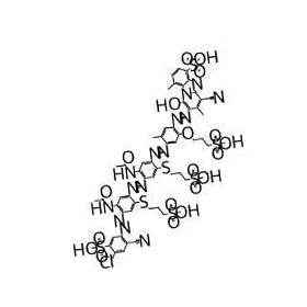 CC(=O)Nc1cc(N=Nc2cc(SCCCS(=O)(=O)O)c(N=Nc3cc(OCCCS(=O)(=O)O)c(N=Nc4c(C)c(C#N)c5nc6c(S(=O)(=O)O)ccc(C)c6n5c4O)cc3C)cc2NC(C)=O)c(SCCCS(=O)(=O)O)cc1N=Nc1cc(S(=O)(=O)O)c(Cl)cc1C#N